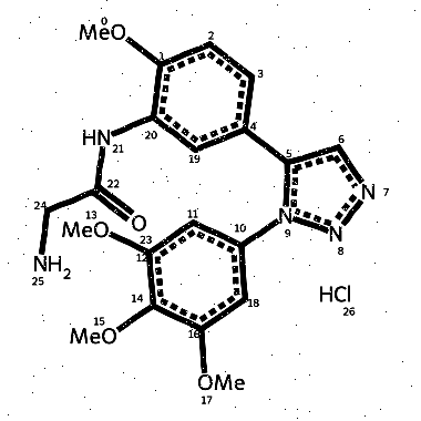 COc1ccc(-c2cnnn2-c2cc(OC)c(OC)c(OC)c2)cc1NC(=O)CN.Cl